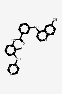 N#Cc1ccc2nccc(Nc3cccc(C(=O)Nc4cccc(Nc5ccncc5)c4F)c3)c2c1